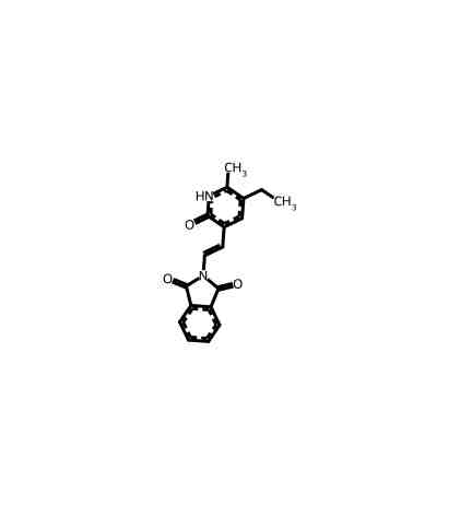 CCc1cc(C=CN2C(=O)c3ccccc3C2=O)c(=O)[nH]c1C